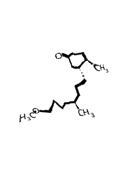 COCCCC[C@H](C)CCC[C@@H]1CC(=O)CC[C@H]1C